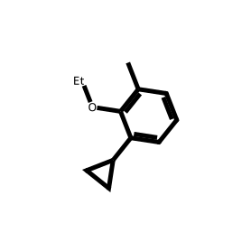 CCOc1c(C)cccc1C1CC1